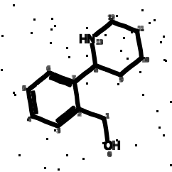 OCc1ccccc1C1CCCCN1